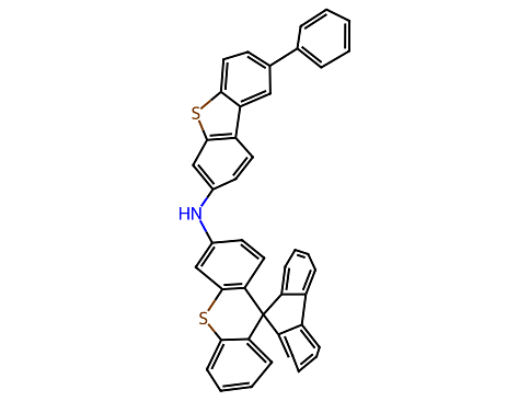 c1ccc(-c2ccc3sc4cc(Nc5ccc6c(c5)Sc5ccccc5C65c6ccccc6-c6ccccc65)ccc4c3c2)cc1